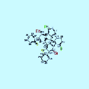 Fc1ccc2c(c1)C1(c3cc(F)ccc3-2)c2cc(Br)c3c(sc4ccccc43)c2-c2c1cc(Br)c1c2sc2ccccc21